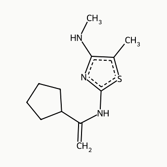 C=C(Nc1nc(NC)c(C)s1)C1CCCC1